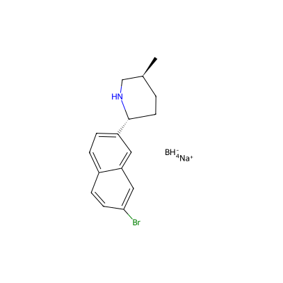 C[C@H]1CC[C@H](c2ccc3ccc(Br)cc3c2)NC1.[BH4-].[Na+]